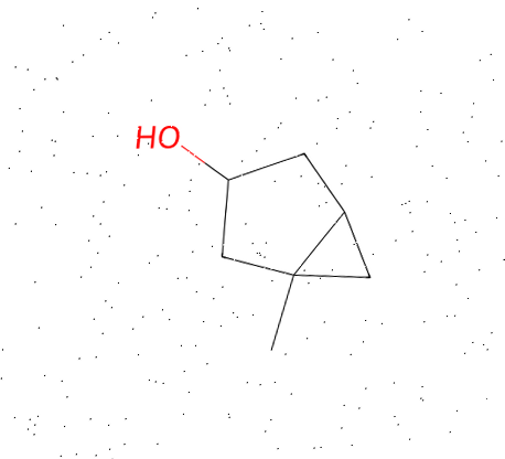 CC12CC(O)CC1C2